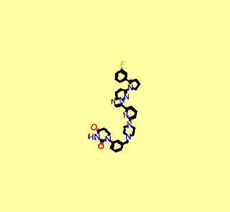 O=C1CCN(c2cccc(CN3CCN(c4cccc(-c5cnc6ccc(N7CCC[C@@H]7c7cccc(F)c7)nn56)n4)CC3)c2)C(=O)N1